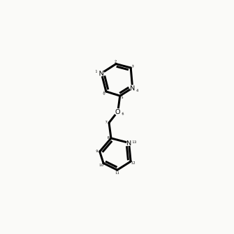 [c]1nccnc1OCc1ccccn1